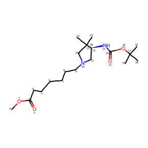 COC(=O)CCCCCCN1C[C@H](NC(=O)OC(C)(C)C)C(C)(C)C1